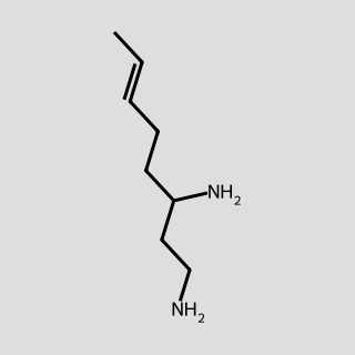 C/C=C/CCC(N)CCN